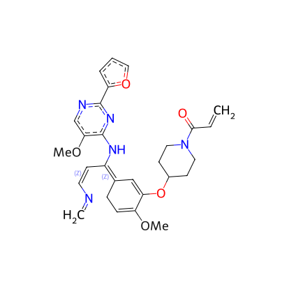 C=CC(=O)N1CCC(OC2=C/C(=C(/C=C\N=C)Nc3nc(-c4ccco4)ncc3OC)CC=C2OC)CC1